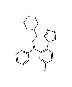 Clc1ccc2c(n1)C(c1ccccc1)=NC(N1CCOCC1)c1nncn1-2